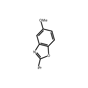 COc1ccc2oc(C(C)C)nc2c1